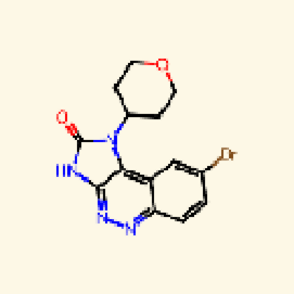 O=c1[nH]c2nnc3ccc(Br)cc3c2n1C1CCOCC1